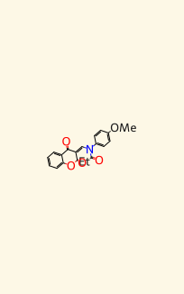 CCC(=O)N(C=C1C(=O)Oc2ccccc2C1=O)c1ccc(OC)cc1